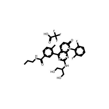 CCCNC(=O)c1ccc(C)c(-c2nc(NC(CO)CO)nc3c2ccc(=O)n3-c2c(F)cccc2F)c1.O=C(O)C(F)(F)F